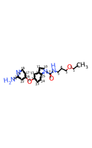 CCOCCCNC(=O)n1ccc2cc(Oc3ccnc(N)c3)ccc21